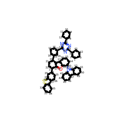 c1ccc(-c2nc(-c3ccccc3)nc(-c3cccc(-c4ccc(-c5ccc6c(c5)sc5ccccc56)c5oc6c(-n7c8ccccc8c8ccccc87)cccc6c45)c3)n2)cc1